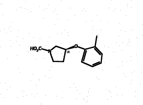 Cc1ccccc1O[C@H]1CCN(C(=O)O)C1